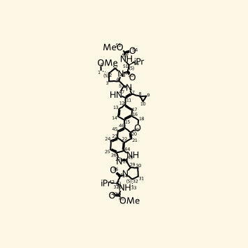 COC[C@H]1CC(c2nc(C3CC3)c(-c3ccc4c(c3)COc3cc5c(ccc6nc(C7CC[C@H](C)N7C(=O)[C@@H](NC(=O)OC)C(C)C)[nH]c65)cc3-4)[nH]2)N(C(=O)[C@@H](NC(=O)OC)C(C)C)C1